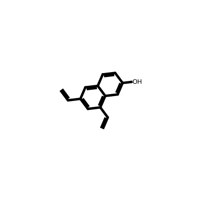 C=Cc1cc(C=C)c2cc(O)ccc2c1